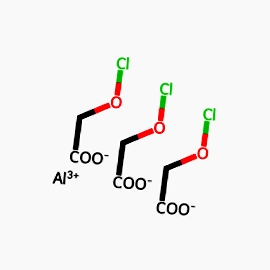 O=C([O-])COCl.O=C([O-])COCl.O=C([O-])COCl.[Al+3]